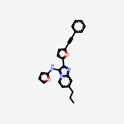 CCCc1ccn2c(Nc3ccco3)c(-c3ccc(C#Cc4ccccc4)o3)nc2c1